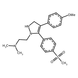 COc1ccc(C2=C(c3ccc(S(C)(=O)=O)cc3)N(CCN(C)C)NC2)cc1